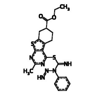 CCOC(=O)C1CCc2c(sc3nc(C)nc(SC(=N)N(N=N)c4ccccc4)c23)C1